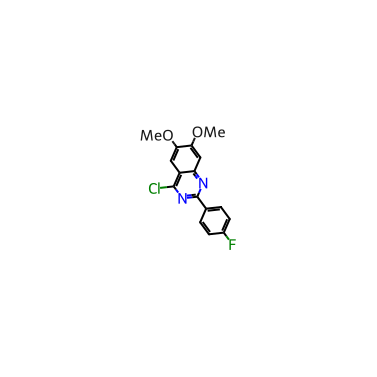 COc1cc2nc(-c3ccc(F)cc3)nc(Cl)c2cc1OC